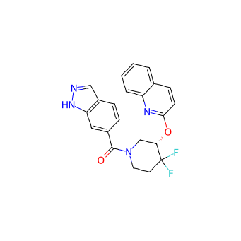 O=C(c1ccc2cn[nH]c2c1)N1CCC(F)(F)[C@@H](Oc2ccc3ccccc3n2)C1